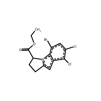 CCOC(=O)C1CCc2cc3c(Cl)c(Cl)cc(Br)c3n21